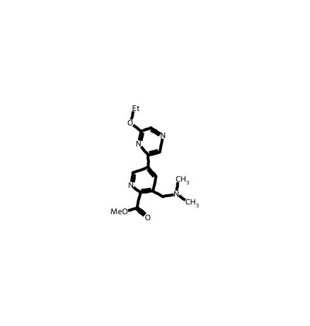 CCOc1cncc(-c2cnc(C(=O)OC)c(CN(C)C)c2)n1